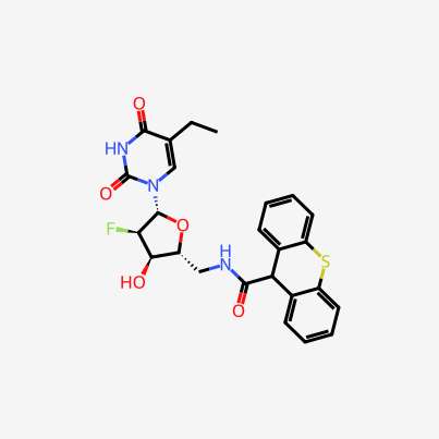 CCc1cn([C@@H]2O[C@H](CNC(=O)C3c4ccccc4Sc4ccccc43)[C@@H](O)[C@H]2F)c(=O)[nH]c1=O